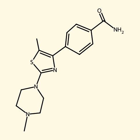 Cc1sc(N2CCN(C)CC2)nc1-c1ccc(C(N)=O)cc1